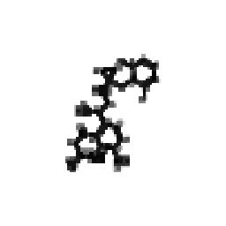 Cc1cccc(C)c1CC1(NCC(O)c2ccc(O)c3c2OCC(=O)N3)CC1